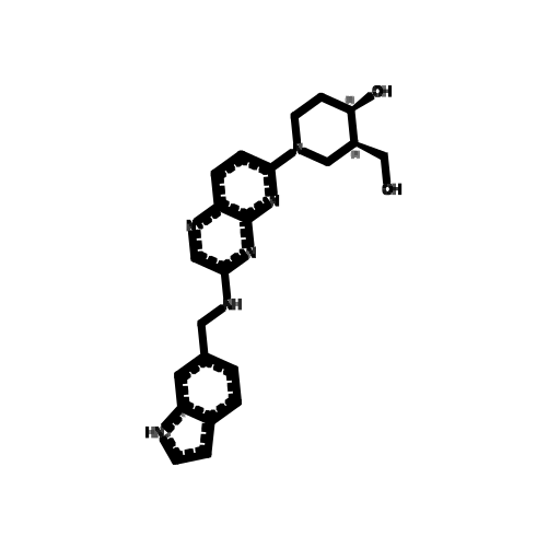 OC[C@H]1CN(c2ccc3ncc(NCc4ccc5cc[nH]c5c4)nc3n2)CC[C@H]1O